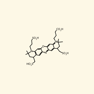 CC1(C)CC(CS(=O)(=O)O)c2cc3c(cc2N1CCCS(=O)(=O)O)Oc1cc2c(cc1=N3)C(CS(=O)(=O)O)CC(C)(C)[N+]=2CCCC(=O)O